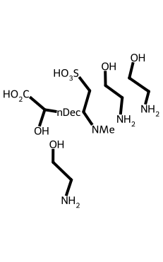 CCCCCCCCCCC(O)C(=O)O.CNCCS(=O)(=O)O.NCCO.NCCO.NCCO